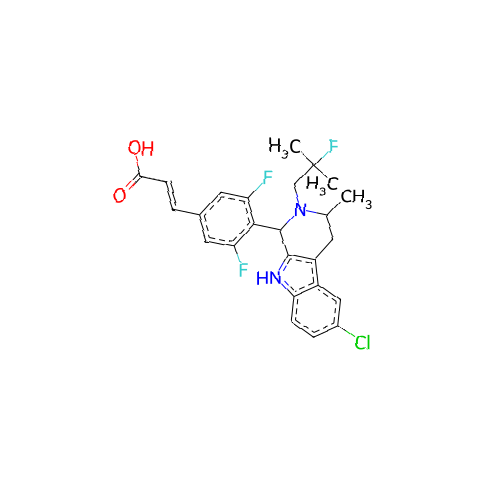 CC1Cc2c([nH]c3ccc(Cl)cc23)C(c2c(F)cc(/C=C/C(=O)O)cc2F)N1CC(C)(C)F